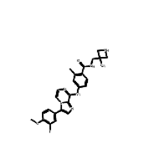 COc1ccc(-c2cnc3c(Nc4ccc(C(=O)NCC5(O)CNC5)c(C)c4)nccn23)cc1F